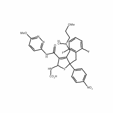 COCCN(C)CC1=C(C(=O)Nc2ccc(OC)nn2)C(NC(=O)O)SC1(Cc1c(F)cccc1F)c1ccc([N+](=O)[O-])cc1